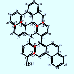 CC(C)(C)c1ccc(N(c2ccccc2-c2cccc3c2ccc2ccccc23)c2ccccc2-c2cccc3cccc(-c4ccccc4)c23)cc1